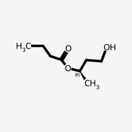 CCCC(=O)O[C@H](C)CCO